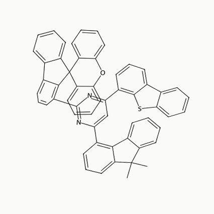 CC1(C)c2ccccc2-c2c(-c3cc(-c4cccc5c4sc4ccccc45)nc(-c4cccc5c4C4(c6ccccc6Oc6ccccc64)c4ccccc4-5)n3)cccc21